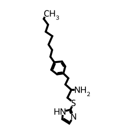 CCCCCCCCc1ccc(CCC(N)CSc2ncc[nH]2)cc1